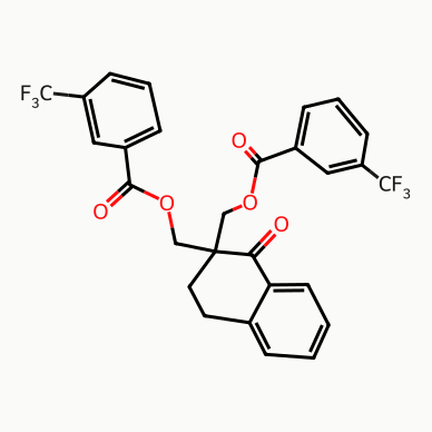 O=C(OCC1(COC(=O)c2cccc(C(F)(F)F)c2)CCc2ccccc2C1=O)c1cccc(C(F)(F)F)c1